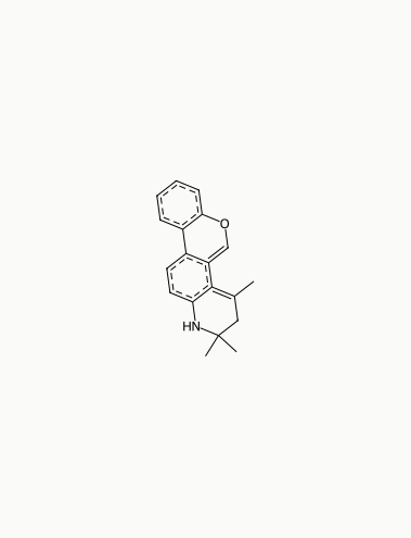 CC1=c2c(ccc3c2=COc2ccccc2-3)NC(C)(C)C1